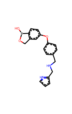 OB1OCc2cc(Oc3ccc(CNCc4ccc[nH]4)cc3)ccc21